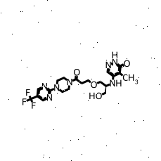 Cc1c(N[C@@H](CO)COCCC(=O)N2CCN(c3ncc(C(F)(F)F)cn3)CC2)cn[nH]c1=O